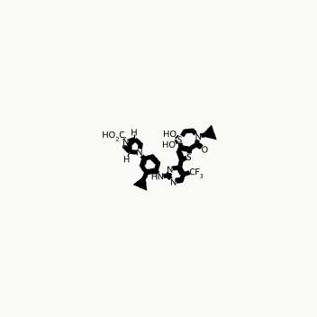 O=C1c2sc(-c3nc(Nc4ccc(N5C[C@H]6C[C@@H]5CN6C(=O)O)cc4C4CC4)ncc3C(F)(F)F)cc2S(O)(O)CCN1C1CC1